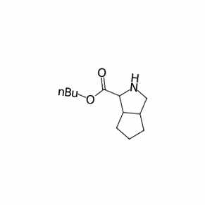 CCCCOC(=O)C1NCC2CCCC21